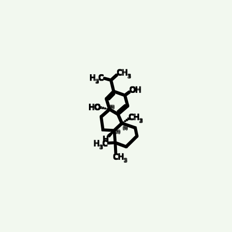 CC(C)C1=C[C@]2(O)CC[C@H]3C(C)(C)CCC[C@]3(C)C2=CC1O